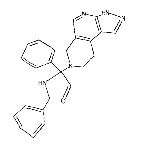 O=CC(NCc1ccccc1)(c1ccccc1)N1CCc2c(cnc3[nH]ncc23)C1